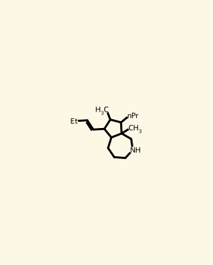 CCC=CC1C(C)C(CCC)C2(C)CNCCCC12